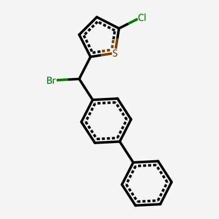 Clc1ccc(C(Br)c2ccc(-c3ccccc3)cc2)s1